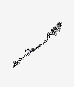 N/C(=C\N(N)COCCOCCOCCOCCOCC#Cc1ccc2c(c1)COC21CN(c2nc(Cl)nc3c2cnn3[C@@H]2O[C@H](COCP(=O)(O)O)[C@@H](O)[C@H]2O)C1)CCOCCOCCOCCOCCC(=O)Oc1c(F)cc(F)cc1F